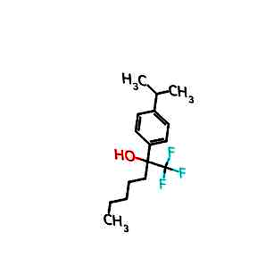 CCCCCC(O)(c1ccc(C(C)C)cc1)C(F)(F)F